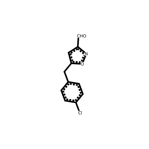 O=Cc1cc(Cc2ccc(Cl)cc2)on1